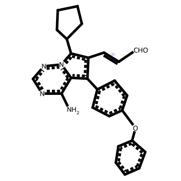 Nc1ncnn2c(C3CCCC3)c(/C=C/C=O)c(-c3ccc(Oc4ccccc4)cc3)c12